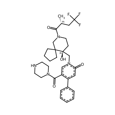 C[C@H](CC(F)(F)F)C(=O)N1CC[C@](O)(Cn2cc(C(=O)N3CCNCC3)c(-c3ccccc3)cc2=O)C2(CCCC2)C1